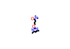 Cc1[c]c(C)nc(OCCCC(=O)N(C)C)n1